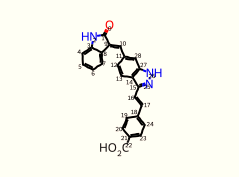 O=C1Nc2ccccc2C1=Cc1ccc2c(C=Cc3ccc(C(=O)O)cc3)n[nH]c2c1